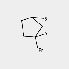 CC(C)C12CCC(C1)SS2